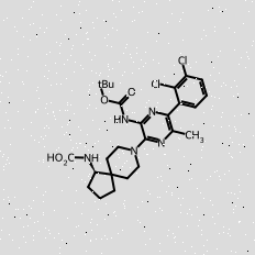 Cc1nc(N2CCC3(CCC[C@H]3NC(=O)O)CC2)c(NC(=O)OC(C)(C)C)nc1-c1cccc(Cl)c1Cl